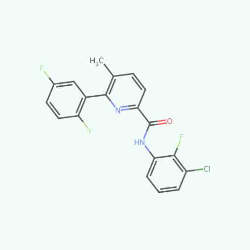 Cc1ccc(C(=O)Nc2cccc(Cl)c2F)nc1-c1cc(F)ccc1F